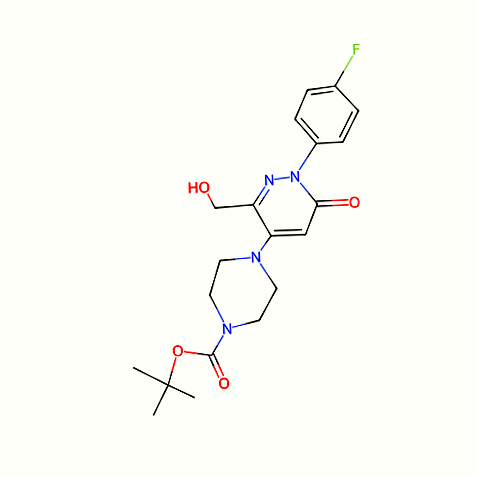 CC(C)(C)OC(=O)N1CCN(c2cc(=O)n(-c3ccc(F)cc3)nc2CO)CC1